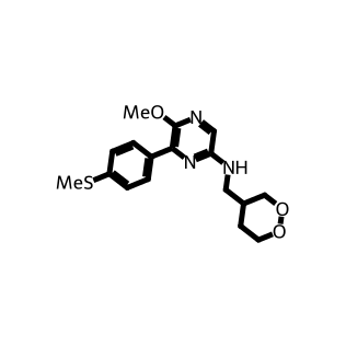 COc1ncc(NCC2CCOOC2)nc1-c1ccc(SC)cc1